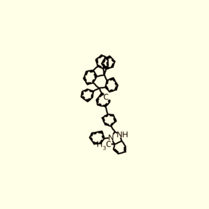 CC12C=CC=CC1NC(c1ccc(-c3ccc(C4(c5ccccc5)c5ccccc5C5(c6ccccc6)c6ccccc6-c6cccc4c65)cc3)cc1)N2c1ccccc1